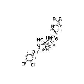 O=C(COc1ccc(Cl)c(Cl)c1)NC1=C2CC(NC(=O)c3ccc(C(F)F)nc3)(C2)C[C@@H]1O